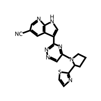 N#Cc1cnc2[nH]cc(-c3nncc(N4CCCC4c4nccs4)n3)c2c1